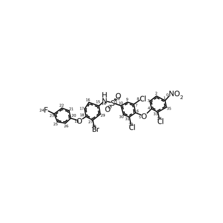 O=[N+]([O-])c1ccc(Oc2c(Cl)cc(S(=O)(=O)Nc3ccc(Oc4ccc(F)cc4)c(Br)c3)cc2Cl)c(Cl)c1